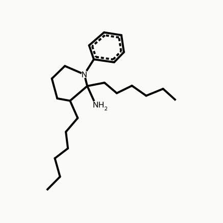 CCCCCCC1CCCN(c2ccccc2)C1(N)CCCCCC